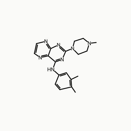 Cc1ccc(Nc2nc(N3CCN(C)CC3)nc3nccnc23)cc1C